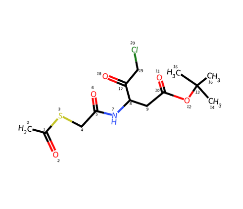 CC(=O)SCC(=O)NC(CC(=O)OC(C)(C)C)C(=O)CCl